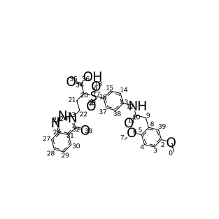 COc1ccc(OC)c(CC(=O)Nc2ccc(S(=O)(=O)C(CCn3nnc4ccccc4c3=O)C(=O)O)cc2)c1